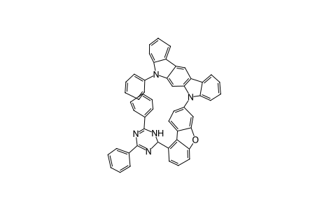 c1ccc(C2=NC(c3cccc4oc5cc(-n6c7ccccc7c7cc8c9ccccc9n(-c9ccccc9)c8cc76)ccc5c34)NC(c3ccccc3)=N2)cc1